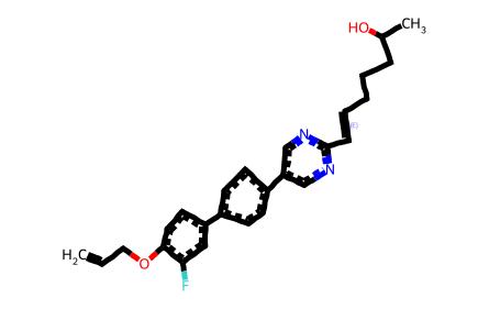 C=CCOc1ccc(-c2ccc(-c3cnc(/C=C/CCCC(C)O)nc3)cc2)cc1F